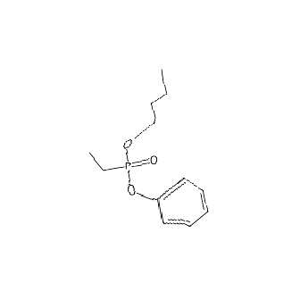 CCCCOP(=O)(CC)Oc1ccccc1